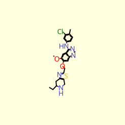 CCC1Cc2nc(COc3cc4ncnc(Nc5ccc(C)c(Cl)c5)c4cc3OC)sc2CN1